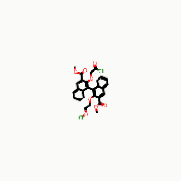 COC(=O)c1cc2ccccc2c(-c2c(OCC(=O)Cl)c(C(=O)OC)cc3ccccc23)c1OCCOCl